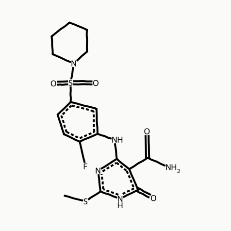 CSc1nc(Nc2cc(S(=O)(=O)N3CCCCC3)ccc2F)c(C(N)=O)c(=O)[nH]1